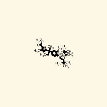 CCC(CC)(c1ccc(OCC(O[Si](C)(C)C(C)(C)C)C(C)(C)C)c(C)c1)c1cc(C)c(C(=O)OC)s1